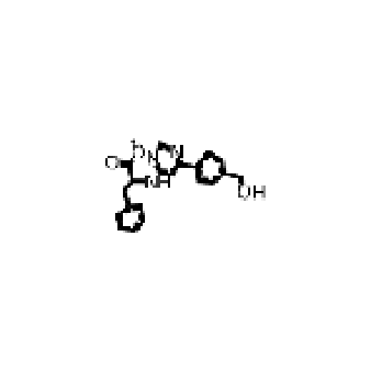 COC(=O)C(Cc1ccccc1)Nc1cc(-c2ccc(CO)cc2)ncn1